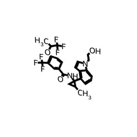 CC(Oc1ccc(C(=O)NC2(c3cccc4c3ccn4CCO)CC2C)cc1C(F)(F)F)C(F)(F)F